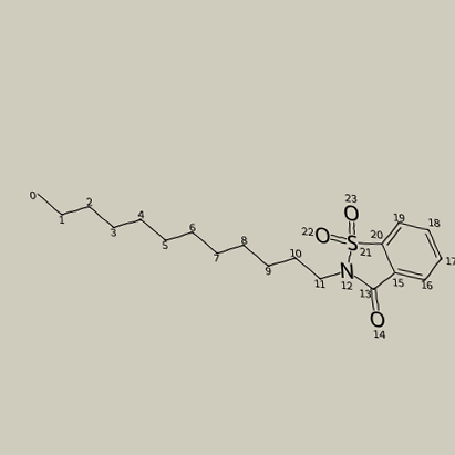 CCCCCCCCCCCCN1C(=O)c2ccccc2S1(=O)=O